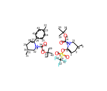 C[C@H]1CC=C(OS(=O)(=O)C(F)(F)F)N(C(=O)OC(C)(C)C)C1.Cc1ccc(C2=CC[C@H](C)CN2C(=O)OC(C)(C)C)cc1